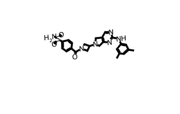 Cc1cc(C)cc(Nc2ncc3c(n2)CN(C2CN(C(=O)c4ccc(S(N)(=O)=O)cc4)C2)C3)c1